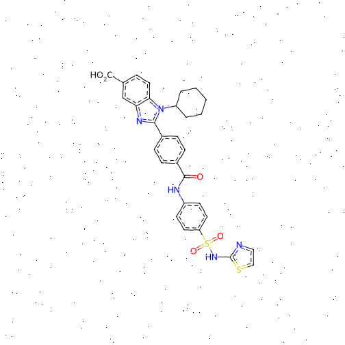 O=C(O)c1ccc2c(c1)nc(-c1ccc(C(=O)Nc3ccc(S(=O)(=O)Nc4nccs4)cc3)cc1)n2C1CCCCC1